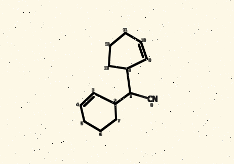 N#CC(C1C=CCCC1)C1C=CCCC1